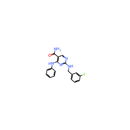 NC(=O)c1cnc(NCc2cccc(F)c2)nc1Nc1ccccc1